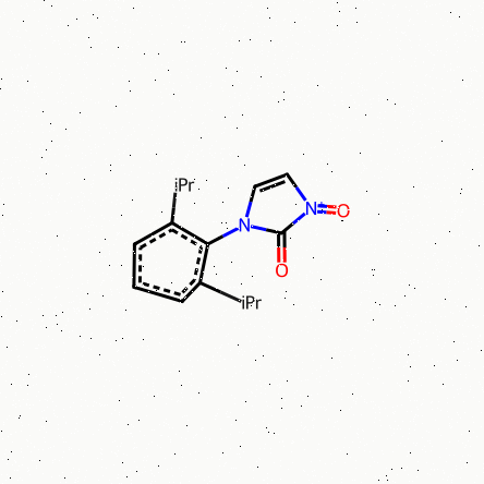 CC(C)c1cccc(C(C)C)c1N1C=C[N+](=O)C1=O